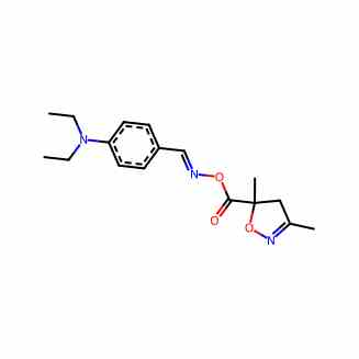 CCN(CC)c1ccc(/C=N/OC(=O)C2(C)CC(C)=NO2)cc1